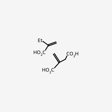 C=C(CC(=O)O)C(=O)O.C=C(CC)C(=O)O